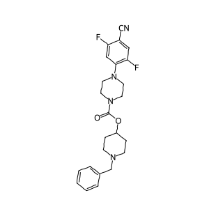 N#Cc1cc(F)c(N2CCN(C(=O)OC3CCN(Cc4ccccc4)CC3)CC2)cc1F